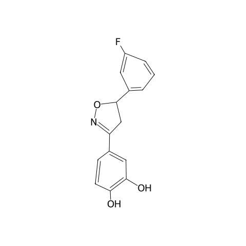 Oc1ccc(C2=NOC(c3cccc(F)c3)C2)cc1O